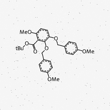 COc1ccc(COc2ccc(OC)c(C(=O)OC(C)(C)C)c2OCc2ccc(OC)cc2)cc1